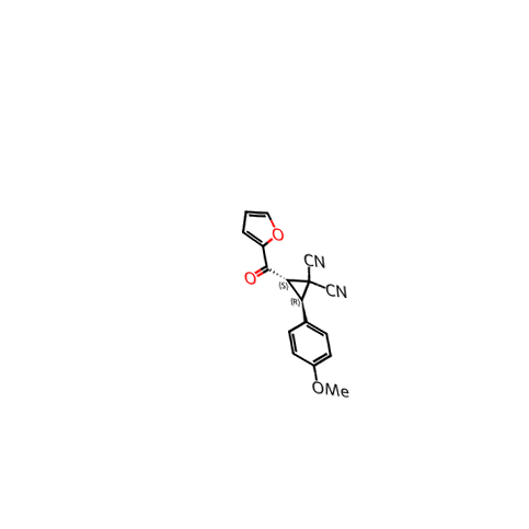 COc1ccc([C@H]2[C@H](C(=O)c3ccco3)C2(C#N)C#N)cc1